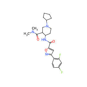 CN(C)C(=O)C1CN(C2CCCC2)CCC1NC(=O)c1cc(-c2ccc(F)cc2F)no1